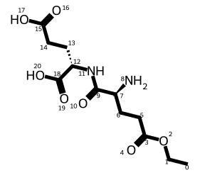 CCOC(=O)CC[C@H](N)C(=O)N[C@@H](CCC(=O)O)C(=O)O